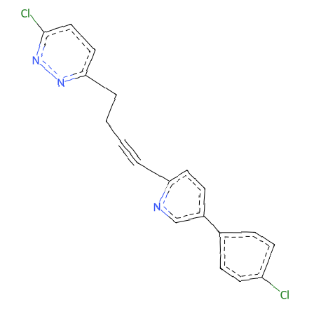 Clc1ccc(-c2ccc(C#CCCc3ccc(Cl)nn3)nc2)cc1